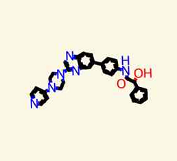 O=C(Nc1ccc(-c2ccc3ncc(N4CCN(c5ccncc5)CC4)nc3c2)cc1)C(O)c1ccccc1